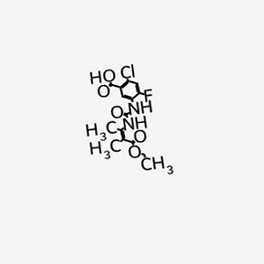 CCOC(=O)C(C)=C(C)NC(=O)Nc1cc(C(=O)O)c(Cl)cc1F